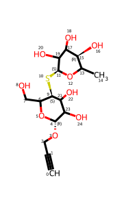 C#CCO[C@@H]1OC(CO)[C@@H](S[C@@H]2OC(C)[C@H](O)C(O)C2O)C(O)C1O